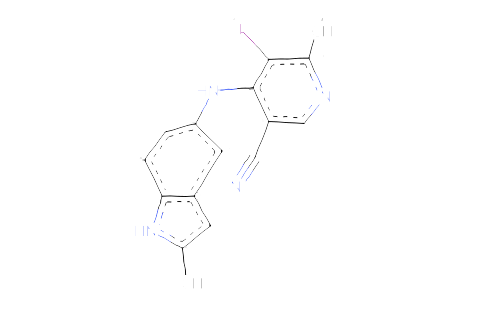 Cc1cc2cc(Nc3c(C#N)cnc(C)c3I)ccc2[nH]1